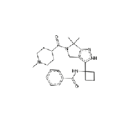 CN1CCC(C(=O)N2Cc3c(n[nH]c3C3(NC(=O)c4ccccc4)CCC3)C2(C)C)CC1